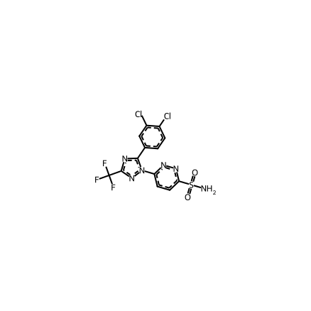 NS(=O)(=O)c1ccc(-n2nc(C(F)(F)F)nc2-c2ccc(Cl)c(Cl)c2)nn1